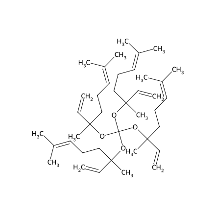 C=CC(C)(CCC=C(C)C)OC(OC(C)(C=C)CCC=C(C)C)(OC(C)(C=C)CCC=C(C)C)OC(C)(C=C)CCC=C(C)C